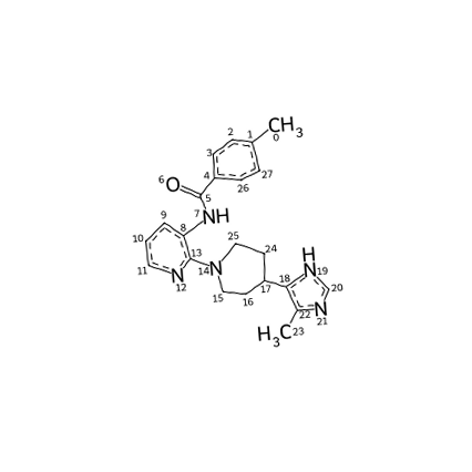 Cc1ccc(C(=O)Nc2cccnc2N2CCC(c3[nH]cnc3C)CC2)cc1